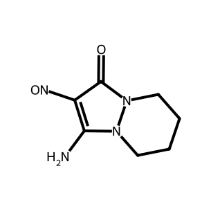 Nc1c(N=O)c(=O)n2n1CCCC2